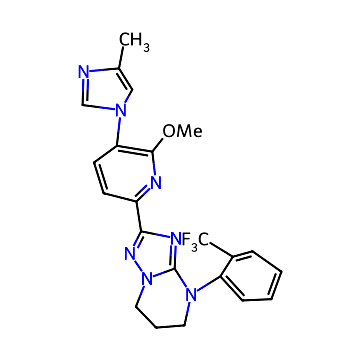 COc1nc(-c2nc3n(n2)CCCN3c2ccccc2C(F)(F)F)ccc1-n1cnc(C)c1